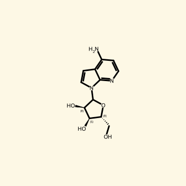 Nc1ccnc2c1ccn2C1O[C@H](CO)[C@@H](O)[C@H]1O